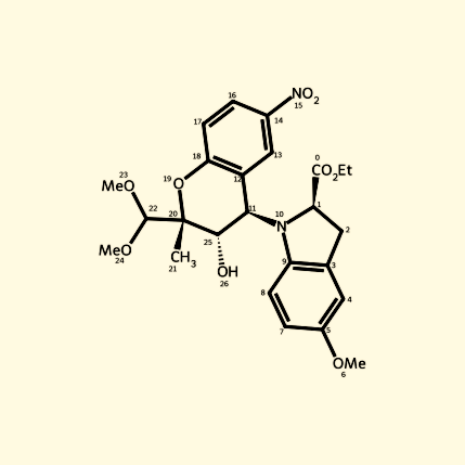 CCOC(=O)[C@H]1Cc2cc(OC)ccc2N1[C@@H]1c2cc([N+](=O)[O-])ccc2O[C@@](C)(C(OC)OC)[C@H]1O